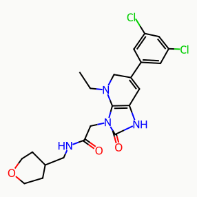 CCN1CC(c2cc(Cl)cc(Cl)c2)=Cc2[nH]c(=O)n(CC(=O)NCC3CCOCC3)c21